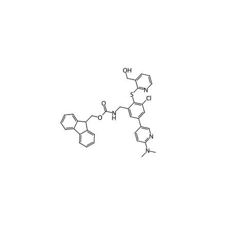 CN(C)c1ccc(-c2cc(Cl)c(Sc3ncccc3CO)c(CNC(=O)OCC3c4ccccc4-c4ccccc43)c2)cn1